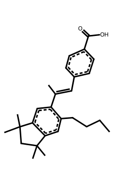 CCCCc1cc2c(cc1C(C)=Cc1ccc(C(=O)O)cc1)C(C)(C)CC2(C)C